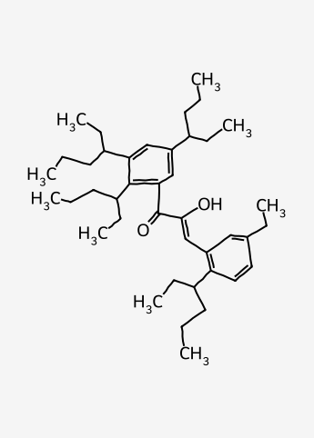 CCCC(CC)c1cc(C(=O)C(O)=Cc2cc(CC)ccc2C(CC)CCC)c(C(CC)CCC)c(C(CC)CCC)c1